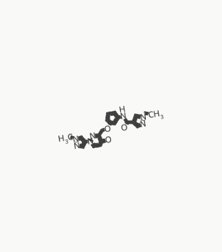 CCn1cc(C(=O)Nc2cccc(OCc3nn(-c4cnn(C)c4)ccc3=O)c2)cn1